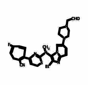 CCc1nc2ccc(N3CCN(CC=O)CC3)cn2c1N(C)C1=NC(C2=C(C#N)CC=C(F)C=C2)=CCS1